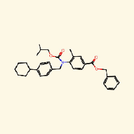 Cc1cc(C(=O)OCc2ccccc2)ccc1N(Cc1ccc(C2CCCCC2)cc1)C(=O)OCC(C)C